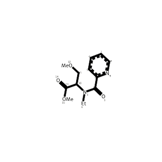 CCN(C(=O)c1ccccn1)C(COC)C(=O)OC